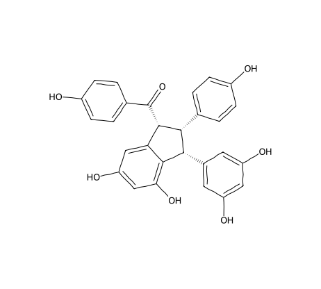 O=C(c1ccc(O)cc1)[C@H]1c2cc(O)cc(O)c2[C@@H](c2cc(O)cc(O)c2)[C@H]1c1ccc(O)cc1